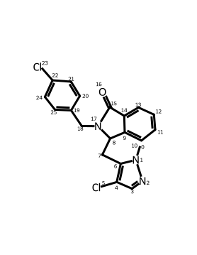 Cn1ncc(Cl)c1CC1c2ccccc2C(=O)N1Cc1ccc(Cl)cc1